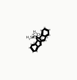 [CH3][Ti]([CH3])(=[SiH2])([CH]1C=Cc2ccccc21)[CH]1C=Cc2ccccc21